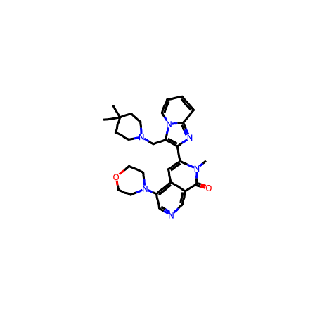 Cn1c(-c2nc3ccccn3c2CN2CCC(C)(C)CC2)cc2c(N3CCOCC3)cncc2c1=O